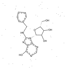 OC[C@H]1O[C@@H](n2c(NCc3ccccc3)nc3c(O)ncnc32)C(O)C1O